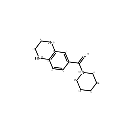 O=C(c1ccc2c(c1)NCCN2)N1CCCCC1